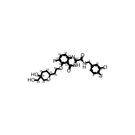 O=C(NCc1ccc(F)c(Cl)c1)c1nc2ccc(F)c(OCCC3CCC(O)(CO)CO3)c2c(=O)[nH]1